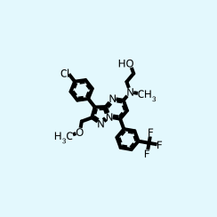 COCc1nn2c(-c3cccc(C(F)(F)F)c3)cc(N(C)CCO)nc2c1-c1ccc(Cl)cc1